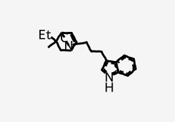 CCC1(C)CC2C=CC1CN2CCCc1c[nH]c2ccccc12